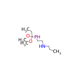 CCCNCCPC(CC)(OC)OC